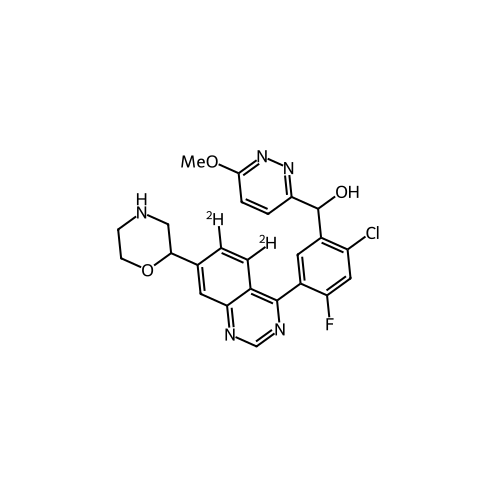 [2H]c1c(C2CNCCO2)cc2ncnc(-c3cc(C(O)c4ccc(OC)nn4)c(Cl)cc3F)c2c1[2H]